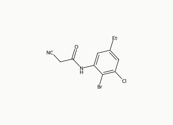 C[CH]c1cc(Cl)c(Br)c(NC(=O)CC#N)c1